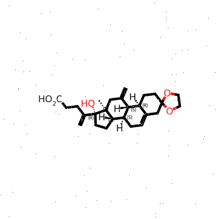 C=C1C[C@@]2(C)[C@@H](CC[C@@]2(O)C(=C)CCC(=O)O)[C@@H]2CC=C3CC4(CC[C@@H]3[C@@H]12)OCCO4